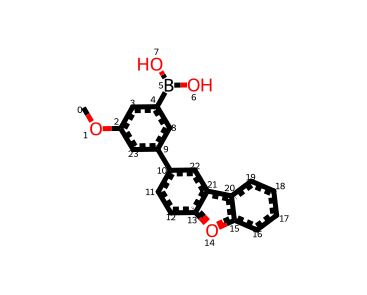 COc1cc(B(O)O)cc(-c2ccc3oc4ccccc4c3c2)c1